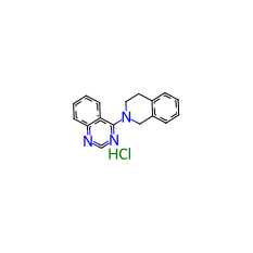 Cl.c1ccc2c(c1)CCN(c1ncnc3ccccc13)C2